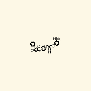 O=C1CC(CN2CCN(C[C@@H](O)COc3ccc4s[nH]c4c3)CC2)C(=O)N1c1ccccc1